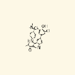 CC(C)C(=O)c1cnc2ccc(-c3cc(Cl)c(O)c(Cl)c3)cc2c1N[C@H]1CC[C@H](CN(C)C)CC1